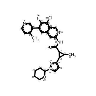 Cc1ccncc1-c1cc2cc(NC(=O)C3C(C)C3c3ccn(C4CCCCO4)n3)ncc2c(Cl)c1F